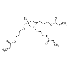 C=CC(=O)OCCCOCC(CC)(COCCCOC(=O)C=C)COCCCOC(=O)C=C